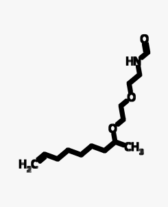 C=CCCCCCC(C)OCCOCCNC=O